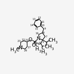 CC(C)C1(C(C)C)CC(Cc2ccccc2)CN1C(=O)OC1CCN(C)CC1